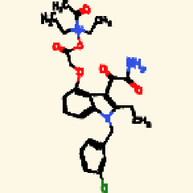 CCc1c(C(=O)C(N)=O)c2c(OCC(=O)O[N+](CC)(CC)C(C)=O)cccc2n1Cc1cccc(Cl)c1